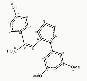 COc1cc(OC)cc(-c2ccccc2C=C(C(=O)O)c2ccc(O)cc2)c1